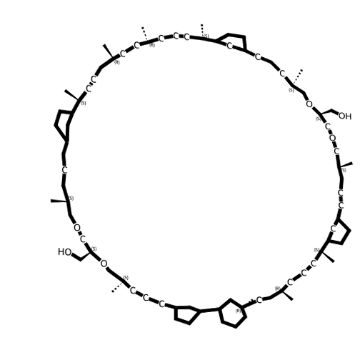 C[C@@H]1CCC[C@H](C)C2CCC(CCC[C@H](C)COC[C@H](CO)OC[C@@H](C)CCCC3CCC(C3)C3CCC[C@](C)(CC[C@H](C)CCC[C@H](C)C4CCC(CCC[C@H](C)COC[C@H](CO)OC[C@@H](C)CCCC5CCC(C5)[C@@H](C)CCC[C@@H](C)CC1)C4)C3)C2